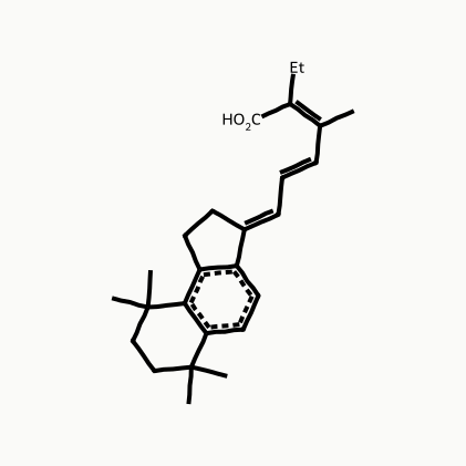 CCC(C(=O)O)=C(C)C=CC=C1CCc2c1ccc1c2C(C)(C)CCC1(C)C